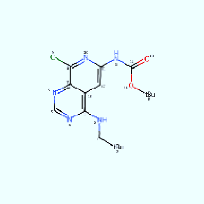 CC(C)(C)CNc1ncnc2c(Cl)nc(NC(=O)OC(C)(C)C)cc12